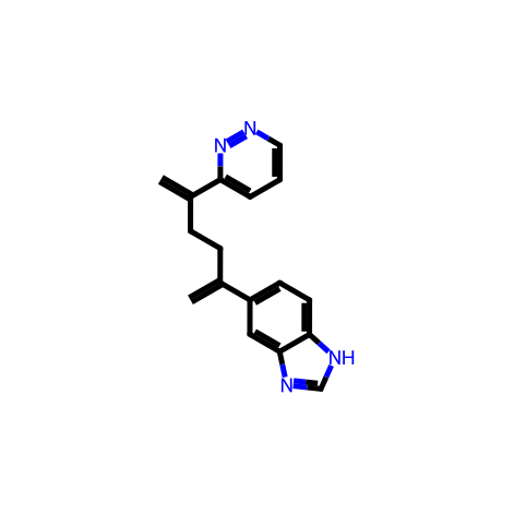 C=C(CCC(=C)c1cccnn1)c1ccc2[nH]cnc2c1